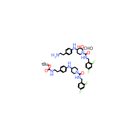 CC(C)(C)OC(=O)NCCc1ccc(NC2CCN(C(=O)NCc3ccc(F)cc3F)CC2)cc1.NCCc1ccc(NC2CCN(C(=O)NCc3ccc(F)cc3F)CC2)cc1.O=CO